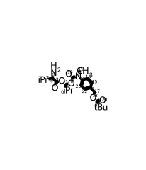 CC(C)C(OC(=O)C(N)C(C)C)OC(=O)N(C)c1ccc(COC(=O)C(C)(C)C)cc1